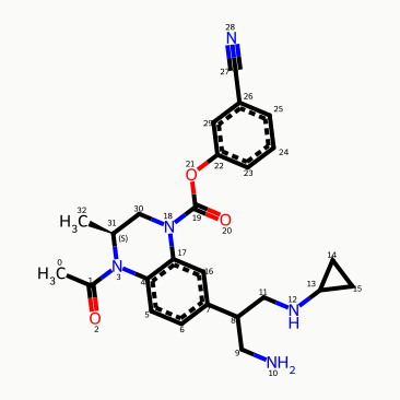 CC(=O)N1c2ccc(C(CN)CNC3CC3)cc2N(C(=O)Oc2cccc(C#N)c2)C[C@@H]1C